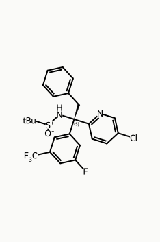 CC(C)(C)[S+]([O-])N[C@@](Cc1ccccc1)(c1cc(F)cc(C(F)(F)F)c1)c1ccc(Cl)cn1